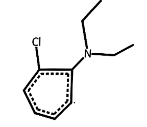 CCN(CC)c1[c]cccc1Cl